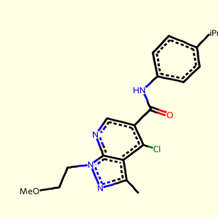 COCCn1nc(C)c2c(Cl)c(C(=O)Nc3ccc(C(C)C)cc3)cnc21